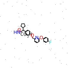 O=C(O)[C@@]1(C(c2ccc(OCc3cccc(Oc4ccc(F)cc4)n3)cc2)C2CCCC2)NO1